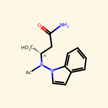 CC(=O)N([C@@H](CC(N)=O)C(=O)O)n1ccc2ccccc21